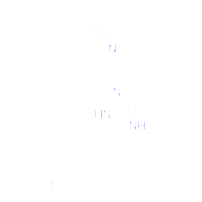 Nc1ccc(-c2ccc(F)cc2)cc1NC(=O)N1CC2CN(C(=O)C3CC3)CC2C1